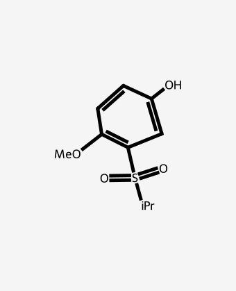 COc1ccc(O)cc1S(=O)(=O)C(C)C